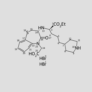 Br.Br.CCOC(=O)[C@@H](CCCC1CCNCC1)N[C@H]1CSc2ccccc2N(CC(=O)O)C1=O